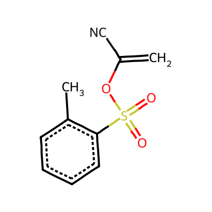 C=C(C#N)OS(=O)(=O)c1ccccc1C